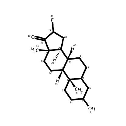 C[C@]12CCC(O)CC1CC[C@@H]1[C@H]2CC[C@]2(C)C(=O)C(F)C[C@@H]12